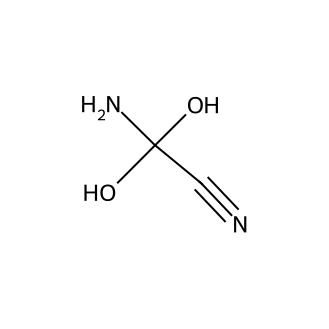 N#CC(N)(O)O